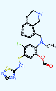 CN(Cc1cccc2c1CNCC2)c1cc(F)c(SNc2ncns2)cc1OC=O